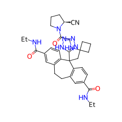 CCNC(=O)c1ccc2c(c1)CCc1cc(C(=O)NCC)ccc1C2(CC1(NCC(=O)N2CCC[C@H]2C#N)CCC1)c1nnn[nH]1